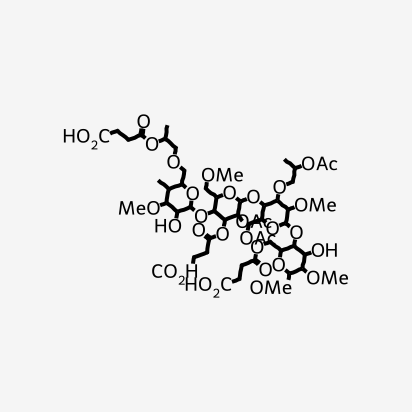 COCC1OC(OC2C(COC(C)=O)OC(OC3C(COC(=O)CCC(=O)O)OC(OC)C(OC)C3O)C(OC)C2OCC(C)OC(C)=O)C(OC(C)=O)C(OC(=O)CCC(=O)O)C1OC1OC(COCC(C)OC(=O)CCC(=O)O)C(C)C(OC)C1O